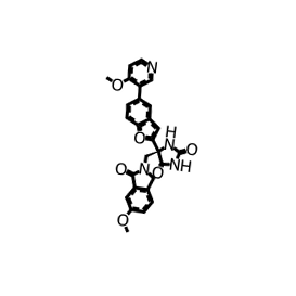 COc1ccc2c(c1)C(=O)N(C[C@@]1(c3cc4cc(-c5cnccc5OC)ccc4o3)NC(=O)NC1=O)C2